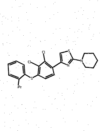 CC(C)c1ccccc1Sc1ccc(-c2csc(N3CCCCC3)n2)c(Cl)c1Cl